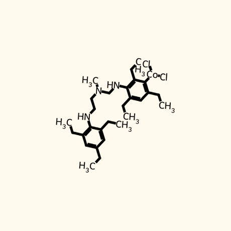 CCc1cc(CC)c(NCCN(C)CNc2c(CC)cc(CC)[c]([Co]([Cl])[Cl])c2CC)c(CC)c1